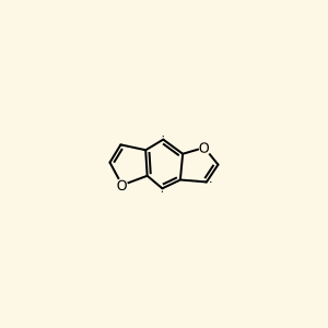 [c]1coc2[c]c3ccoc3[c]c12